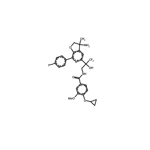 COc1cc(C(=O)NCC(O)(c2cc3c(c(-c4ccc(F)cc4)n2)OCC3(C)N)C(F)(F)F)ccc1OC1CC1